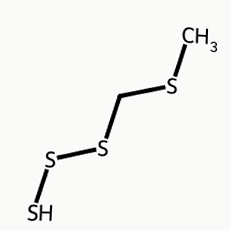 CSCSSS